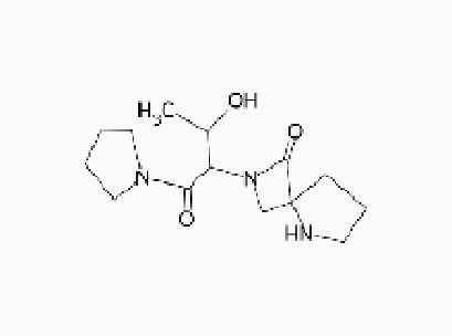 CC(O)C(C(=O)N1CCCC1)N1CC2(CCCN2)C1=O